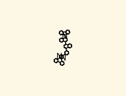 c1cc(-c2cnc3c4ccccc4c4ccccc4c3n2)cc(-c2ccc(-c3ccc(-n4c5ccccc5c5ccccc54)c4ccccc34)c3ccccc23)c1